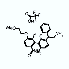 COCCOc1ccc(C(N)=O)c(-c2c(Cl)ccc(C(CN)c3ccccc3)c2F)c1F.O=C(O)C(F)(F)F